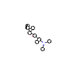 c1ccc(-c2nc(-c3ccccc3)nc(-c3ccc(-c4ccc5c(c4)oc4ccc6c(c45)-c4ccccc4C64C5CC6CC(C5)CC4C6)c4ccccc34)n2)cc1